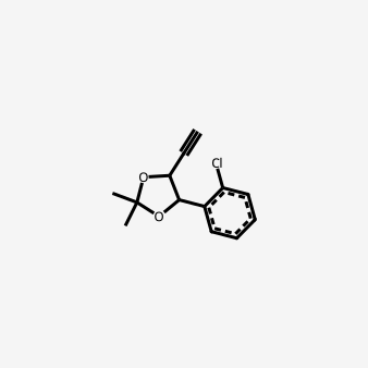 C#CC1OC(C)(C)OC1c1ccccc1Cl